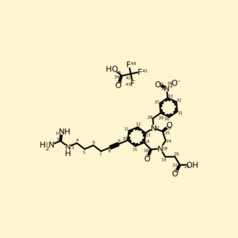 N=C(N)NCCCCC#Cc1ccc2c(c1)C(=O)N(CCC(=O)O)CC(=O)N2Cc1cccc([N+](=O)[O-])c1.O=C(O)C(F)(F)F